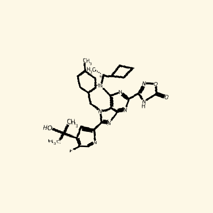 CC1CCC(Cn2c(-c3cc(C(C)(C)O)c(F)cn3)nc3nc(-c4noc(=O)[nH]4)nc(N[C@H](C)C4CCC4)c32)CC1